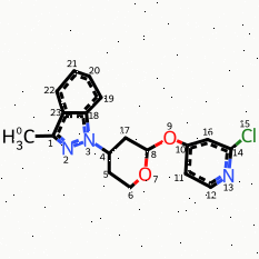 Cc1nn(C2CCOC(Oc3ccnc(Cl)c3)C2)c2ccccc12